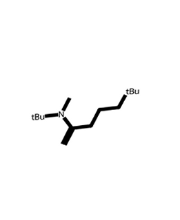 C=C(CCCC(C)(C)C)N(C)C(C)(C)C